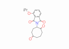 CC(C)Oc1cccc2c1C(=O)N(C1CCC(=O)CCCC1=O)C2=O